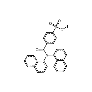 O=C(c1ccc(S(=O)(=O)OI)cc1)N(c1cccc2ccccc12)c1cccc2ccccc12